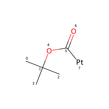 CC(C)(C)O[C](=O)[Pt]